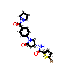 O=C(N[C@@H]1CC(=O)N(c2ccc(C(=O)N3CCCC3)cc2)C1)c1ccc(Br)s1